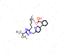 CCCCCc1nc(C(C)C)nn1Cc1ccc(-c2ccccc2C(=O)O)cn1